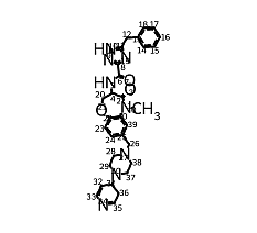 CN1C(=O)C(NC(=O)c2n[nH]c(Cc3ccccc3)n2)COc2ccc(CN3CCN(C4C=CN=CC4)CC3)cc21